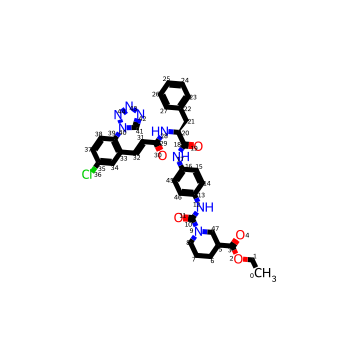 CCOC(=O)C1CCCN(C(=O)Nc2ccc(NC(=O)[C@H](Cc3ccccc3)NC(=O)C=Cc3cc(Cl)ccc3-n3cnnn3)cc2)C1